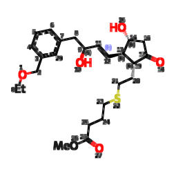 CCOCc1cccc(C[C@H](O)/C=C/[C@H]2[C@H](O)CC(=O)[C@@H]2CCSCCCC(=O)OC)c1